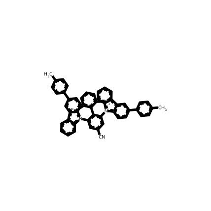 Cc1ccc(-c2ccc3c(c2)c2ccccc2n3-c2cc(C#N)cc(-n3c4ccccc4c4cc(-c5ccc(C)cc5)ccc43)c2-c2c(C(F)(F)F)cccc2C(F)(F)F)cc1